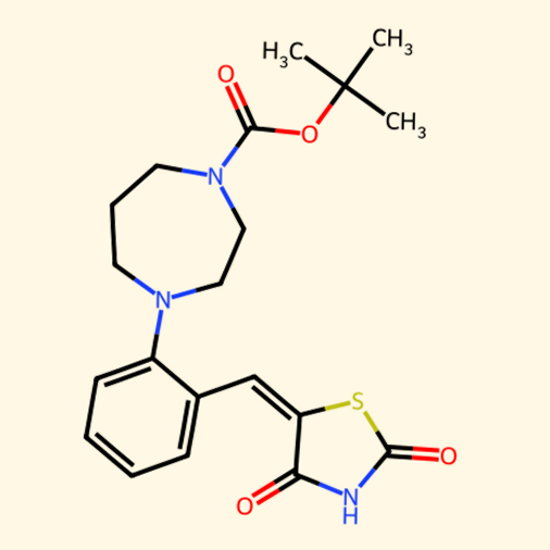 CC(C)(C)OC(=O)N1CCCN(c2ccccc2/C=C2/SC(=O)NC2=O)CC1